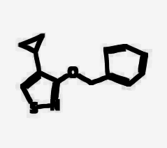 c1ccc(COc2nscc2C2CC2)cc1